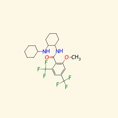 COc1cc(C(F)(F)F)cc(C(F)(F)F)c1C(=O)NC1CCCCC1NC1CCCCC1